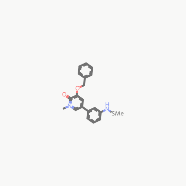 CSNc1cccc(-c2cc(OCc3ccccc3)c(=O)n(C)c2)c1